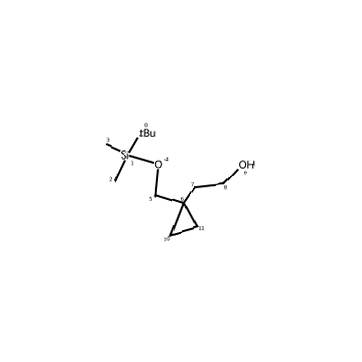 CC(C)(C)[Si](C)(C)OCC1(CCO)CC1